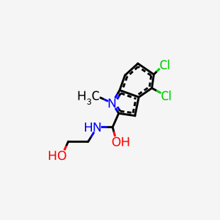 Cn1c(C(O)NCCO)cc2c(Cl)c(Cl)ccc21